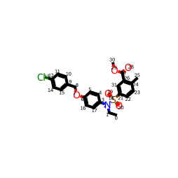 CCN(c1ccc(OCc2ccc(Cl)cc2)cc1)S(=O)(=O)c1ccc(C)c(C(=O)OC)c1